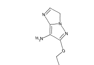 CCOc1nn2c(c1N)N=CC2